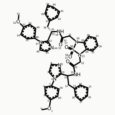 COc1ccc(-n2ccnc2C(Cc2ccccc2)NC(=O)CN2c3ccccc3N(CC(=O)N[C@@H](Cc3ccccc3)c3nccn3-c3ccc(OC)cc3)S2(=O)=O)cc1